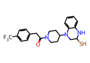 O=C(Cc1ccc(C(F)(F)F)cc1)N1CCC(N2CC(S)Nc3ccccc32)CC1